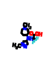 CN1C=CC=C(Nc2cnn(C)c2)C=C1.O=C(O)C(F)(F)F